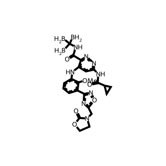 BC(B)(B)NC(=O)c1nnc(NC(=O)C2CC2)cc1Nc1cccc(-c2noc(CN3CCOC3=O)n2)c1OC